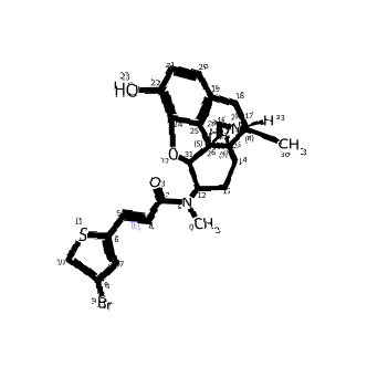 CN(C(=O)/C=C/c1cc(Br)cs1)C1CC[C@@]2(O)[C@H]3Cc4ccc(O)c5c4[C@@]2(CCN3C)C1O5